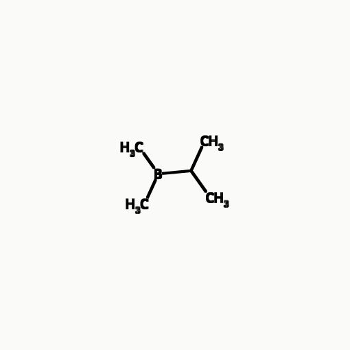 CB(C)C(C)C